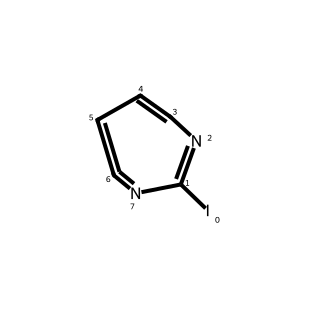 IC1=NC=CC=C=N1